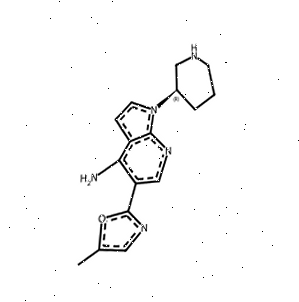 Cc1cnc(-c2cnc3c(ccn3[C@@H]3CCCNC3)c2N)o1